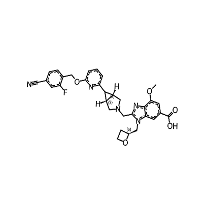 COc1cc(C(=O)O)cc2c1nc(CN1C[C@@H]3C(c4cccc(OCc5ccc(C#N)cc5F)n4)[C@@H]3C1)n2C[C@@H]1CCO1